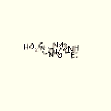 CCc1cc2c([nH]1)CCCC2C(=O)n1nc2c(c1N)CN(C(=O)O)CC2